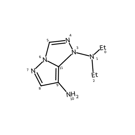 CCN(CC)n1ncn2ncc(N)c12